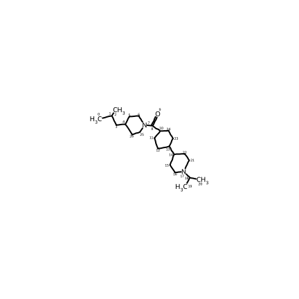 CC(C)CC1CCN(C(=O)C2CCC(C3CCN(C(C)C)CC3)CC2)CC1